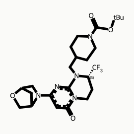 CC(C)(C)OC(=O)N1CCC(CN2c3nc(N4CC5CC4CO5)cc(=O)n3CC[C@H]2C(F)(F)F)CC1